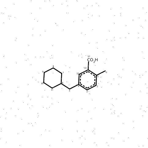 Cc1ccc(CC2CCCCC2)cc1C(=O)O